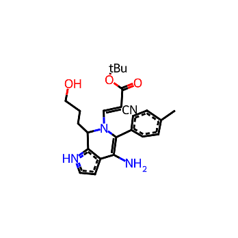 Cc1ccc(C2=C(N)c3cc[nH]c3C(CCCO)N2C=C(C#N)C(=O)OC(C)(C)C)cc1